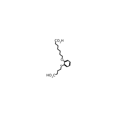 O=C(O)CCCCCCOc1ccccc1SCCCC(=O)O